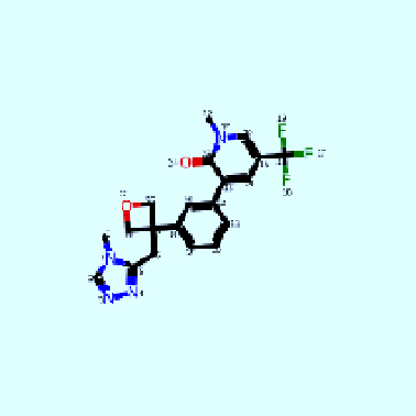 Cn1cnnc1CC1(c2cccc(-c3cc(C(F)(F)F)cn(C)c3=O)c2)COC1